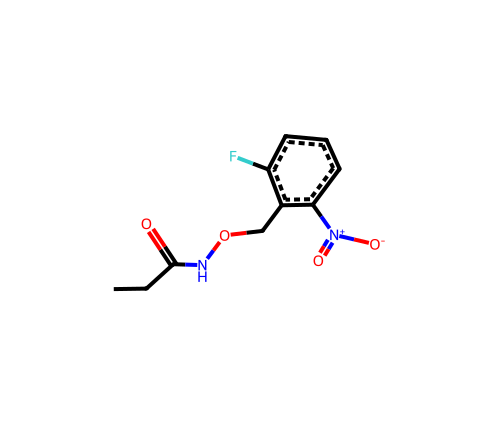 CCC(=O)NOCc1c(F)cccc1[N+](=O)[O-]